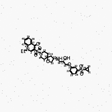 CCn1cc(S(=O)(=O)N2CCC3(CC2)C[C@@H](NC[C@H](O)COc2cccc(S(=O)(=O)C4CC4)c2)CO3)c(=O)c2ccccc21